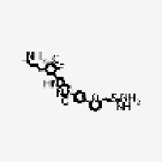 C[C@H](N)CCCc1cc(Cl)c(F)c(-c2cc3cn(-c4ccc([C@@H]5CCC[C@@H](CCSC(=N)N)N5C)cc4)c(=O)nc3[nH]2)c1